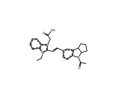 CCn1c(/C=C/c2ccc3c(c2)C2CCCC2N3C(C)=O)[n+](CC(=O)O)c2ccccc21